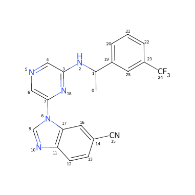 CC(Nc1cncc(-n2cnc3ccc(C#N)cc32)n1)c1cccc(C(F)(F)F)c1